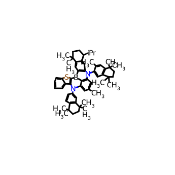 Cc1cc2c3c(c1)N(c1ccc4c(c1)C(C)(C)CCC4(C)C)c1c(sc4ccccc14)B3c1cc3c(cc1N2c1cc2c(cc1C)C(C)(C)CCC2(C)C)C(C(C)C)CCC3(C)C